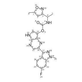 Cc1cc(C(C)NC(=O)Oc2c[nH]c3ncc(-c4nn(C)c5cc(F)ccc45)nc23)no1